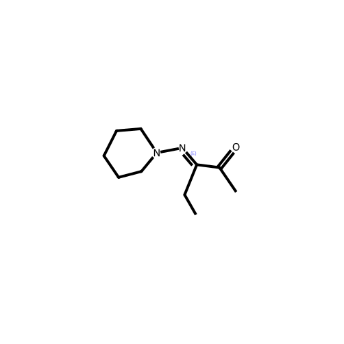 CC/C(=N\N1CCCCC1)C(C)=O